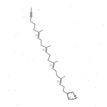 CC#CCCC/C(C)=C/CC/C(C)=C/CC/C(C)=C/CC/C(C)=C/CCc1ccsc1